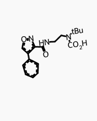 CC(C)(C)N(CCNC(=O)c1nocc1-c1ccccc1)C(=O)O